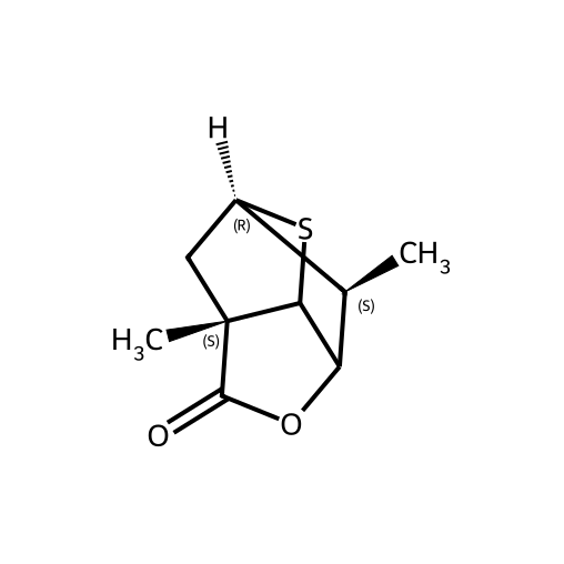 C[C@H]1C2OC(=O)[C@]3(C)C[C@H]1SC23